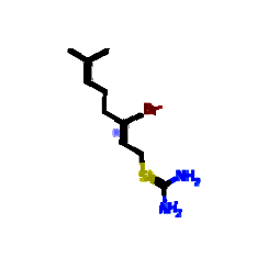 CC(C)=CCC/C(C)=C/C[S+]=C(N)N.[Br-]